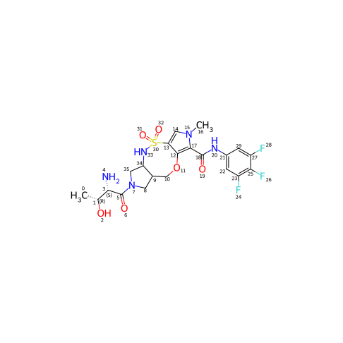 C[C@@H](O)[C@H](N)C(=O)N1CC2COc3c(cn(C)c3C(=O)Nc3cc(F)c(F)c(F)c3)S(=O)(=O)NC2C1